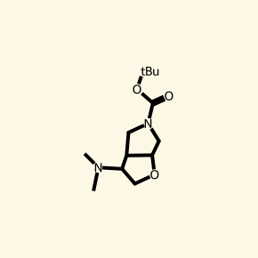 CN(C)C1COC2CN(C(=O)OC(C)(C)C)CC21